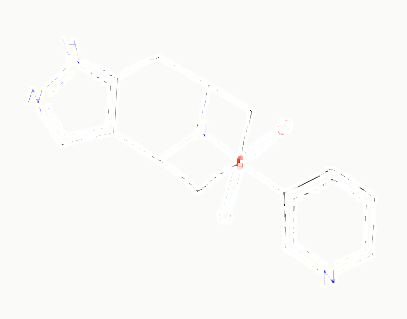 O=S(=O)(c1cccnc1)N1C2CCCC1c1cn[nH]c1C2